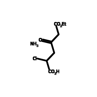 CCOC(=O)CC(=O)CC(Cl)C(=O)O.N